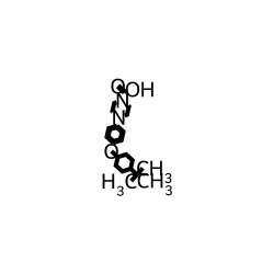 CC(C)(C)C1CCC(Oc2ccc(N3CCN(C(=O)O)CC3)cc2)CC1